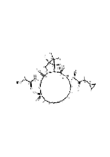 CC(C)(C)OC(=O)N[C@H]1CS(=O)(=O)CCCCCCC[C@@H](C(=O)C(=O)NC2CC2)NC(=O)[C@@H]2[C@@H]3[C@H](CN2C1=O)C3(C)C